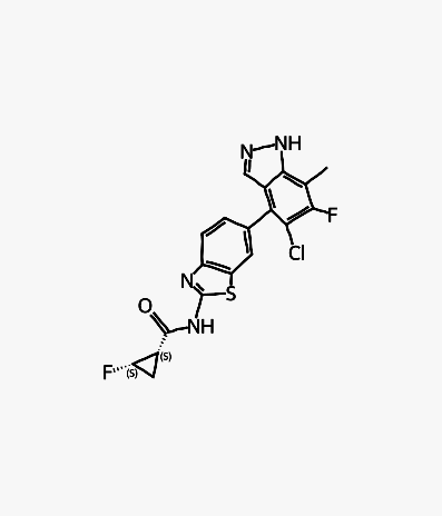 Cc1c(F)c(Cl)c(-c2ccc3nc(NC(=O)[C@@H]4C[C@@H]4F)sc3c2)c2cn[nH]c12